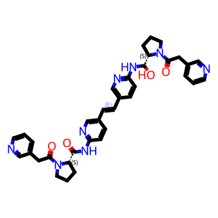 O=C(Nc1ccc(/C=C/c2ccc(NC(O)[C@@H]3CCCN3C(=O)Cc3cccnc3)nc2)cn1)[C@@H]1CCCN1C(=O)Cc1cccnc1